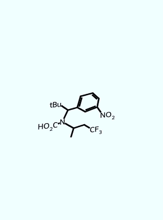 CC(CC(F)(F)F)N(C(=O)O)C(c1cccc([N+](=O)[O-])c1)C(C)(C)C